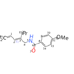 C=C/C=C(/CNC(=O)c1ccc(OC)cc1)C(C)C